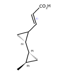 C[C@@H]1C[C@H]1[C@@H]1CC1/C=C/C(=O)O